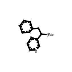 CNC(Cc1ccccc1)c1cccnc1